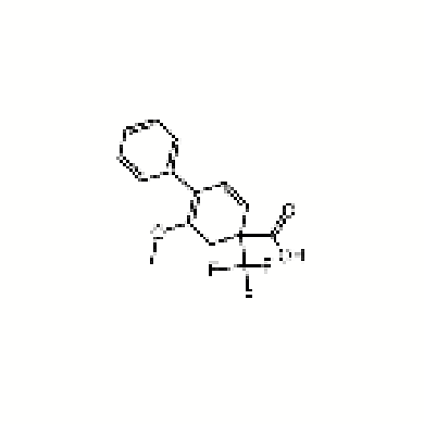 COC1=C(c2ccccc2)C=CC(C(=O)O)(C(F)(F)F)C1